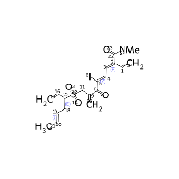 C=C/C(=C\C=C(/I)C(=O)C(=C)CS(=O)(=O)/C(C=C)=C/C=C/C)C(=O)NC